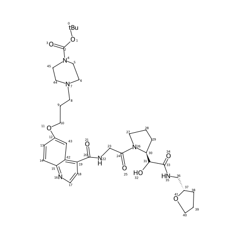 CC(C)(C)OC(=O)N1CCN(CCCOc2ccc3nccc(C(=O)NCC(=O)N4CCC[C@H]4C(O)C(=O)NC[C@@H]4CCCO4)c3c2)CC1